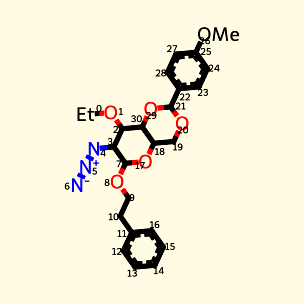 CCOC1C(N=[N+]=[N-])C(OCCc2ccccc2)OC2COC(c3ccc(OC)cc3)OC21